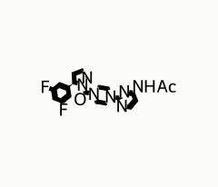 CC(=O)Nc1ccnc(N2CCN(C(=O)N3N=CC[C@H]3c3cc(F)cc(F)c3)CC2)n1